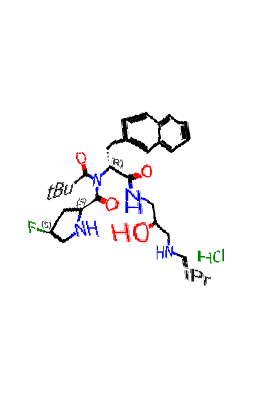 CC(C)CNCC(O)CNC(=O)[C@@H](Cc1ccc2ccccc2c1)N(C(=O)[C@@H]1C[C@H](F)CN1)C(=O)C(C)(C)C.Cl